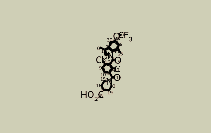 Cc1cn(C(=O)c2c(Cl)ccc(C(=O)N3CCC(C(=O)O)CC3)c2Cl)c2c(C)cc(OC(F)(F)F)cc12